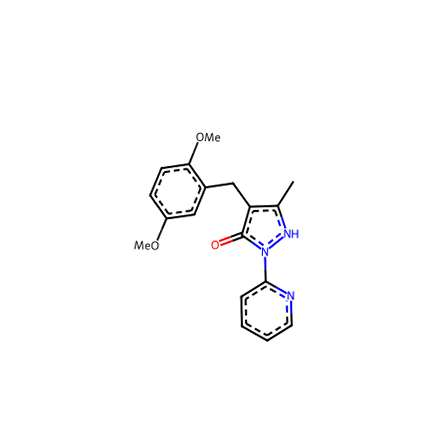 COc1ccc(OC)c(Cc2c(C)[nH]n(-c3ccccn3)c2=O)c1